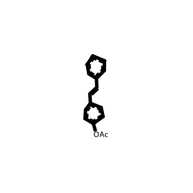 CC(=O)Oc1ccc(/C=C/c2c[c][c][c]c2)cc1